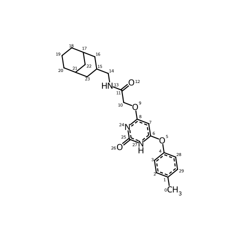 Cc1ccc(Oc2cc(OCC(=O)NCC3CC4CCCC(C4)C3)nc(=O)[nH]2)cc1